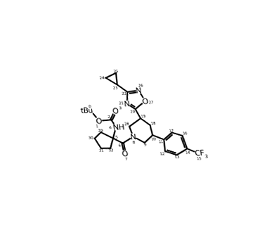 CC(C)(C)OC(=O)NC1(C(=O)N2CC(c3ccc(C(F)(F)F)cc3)CC(c3nc(C4CC4)no3)C2)CCCC1